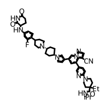 CCC1(C(=O)NC(C)C)CCN(c2ccc(-c3cc(-c4ccn([C@H]5CC[C@@H](N6CCC(c7ccc(NC8CCC(=O)NC8=O)cc7F)CC6)CC5)c4)cn4ncc(C#N)c34)cn2)CC1